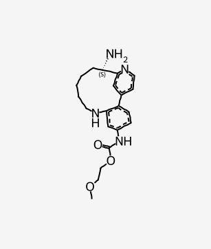 COCCOC(=O)Nc1ccc2c(c1)NCCCCC[C@H](N)c1cc-2ccn1